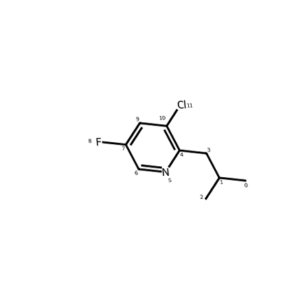 CC(C)Cc1ncc(F)cc1Cl